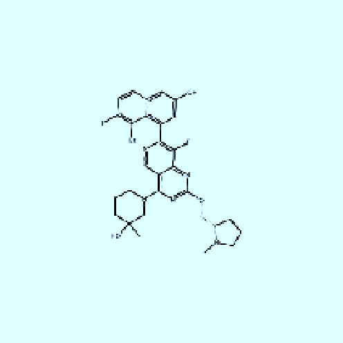 CCc1c(F)ccc2cc(O)cc(-c3ncc4c(N5CCCC(C)(O)C5)nc(OC[C@@H]5CCCN5C)nc4c3F)c12